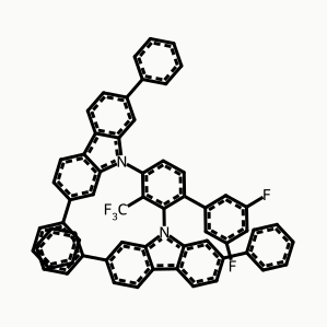 Fc1cc(F)cc(-c2ccc(-n3c4cc(-c5ccccc5)ccc4c4ccc(-c5ccccc5)cc43)c(C(F)(F)F)c2-n2c3cc(-c4ccccc4)ccc3c3ccc(-c4ccccc4)cc32)c1